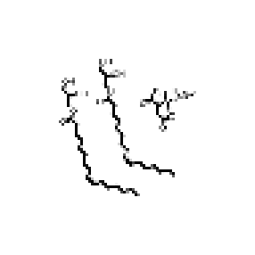 CCCCCC/C=C\CCCCCCCC(=O)OCC(O)CO.CCCCCC/C=C\CCCCCCCC(=O)OCC(O)CO.O=C([O-])CC(C(=O)[O-])S(=O)(=O)O.[Na+].[Na+]